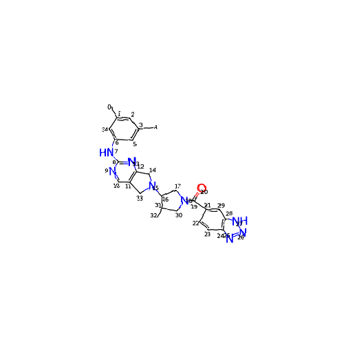 Cc1cc(C)cc(Nc2ncc3c(n2)CN(C2CN(C(=O)c4ccc5nn[nH]c5c4)CC2C)C3)c1